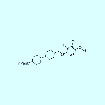 CCCCCC1CCC(C2CCC(COc3ccc(OCC)c(Cl)c3F)CC2)CC1